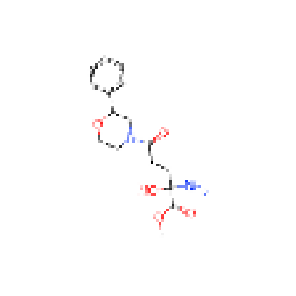 COC(=O)C(N)(O)CCC(=O)N1CCOC(c2ccccc2)C1